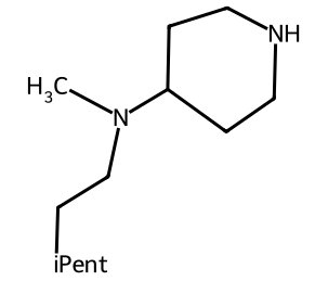 CCCC(C)CCN(C)C1CCNCC1